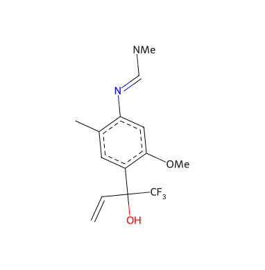 C=CC(O)(c1cc(C)c(N=CNC)cc1OC)C(F)(F)F